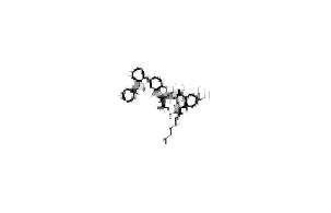 CCCCCCCOc1ccc(Br)cc1C(=O)N[C@@H](Cc1ccc(-c2ccccc2Oc2ccccc2)cc1)C(=O)C(C)O